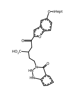 CCCCCCCOc1ccc2oc(C(=O)CC(CCN3NNc4ccccc4C3=O)C(=O)O)cc2c1